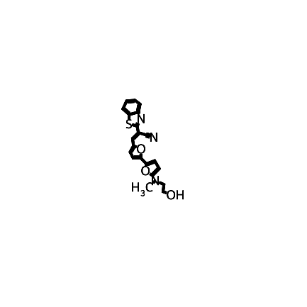 CN(CCO)c1ccc(-c2ccc(/C=C(\C#N)c3nc4ccccc4s3)o2)o1